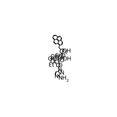 CCC(CC)(CC(CO)Cc1ccc2ccc3cccc4ccc1c2c34)OP(=O)(O)OCC1OC(N2C=NC3C(N)=NC=CC32)CC1C(CC)(CC)OP(=O)(O)O